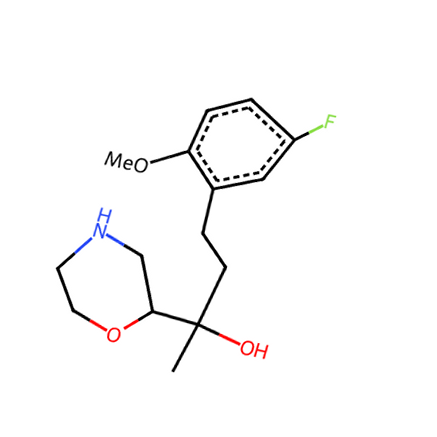 COc1ccc(F)cc1CCC(C)(O)C1CNCCO1